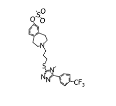 Cn1c(SCCCN2CCc3ccc(OS(C)(=O)=O)cc3CC2)nnc1-c1ccc(C(F)(F)F)cc1